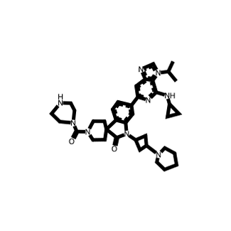 CC(C)n1cnc2cc(-c3ccc4c(c3)N(C3CC(N5CCCCC5)C3)C(=O)C43CCN(C(=O)N4CCNCC4)CC3)nc(NC3CC3)c21